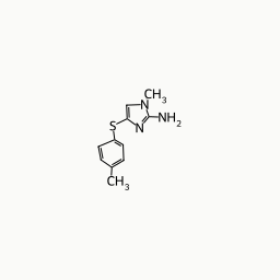 Cc1ccc(Sc2cn(C)c(N)n2)cc1